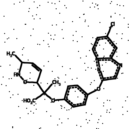 CC1C=CC(C(C)(Oc2ccc(Oc3cnc4cc(Cl)ccc4n3)cc2)C(=O)O)ON1